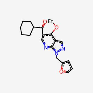 CCOc1c(C(=O)C2CCCCC2)cnc2c1cnn2Cc1ccco1